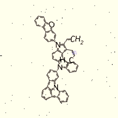 C=Cc1c(/C=C\C)c2c3c4ccccc4n(-c4ccc5c6cccc7c8ccccc8n(c5c4)c76)c3ccc2n1-c1ccc2c(c1)oc1ccccc12